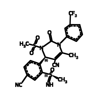 CC1=C(C#N)[C@@H](c2ccc(C#N)cc2[S@@](C)(=N)=O)N(S(C)(=O)=O)C(=O)N1c1cccc(C(F)(F)F)c1